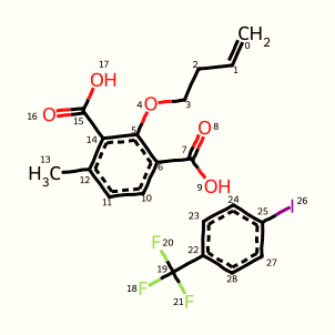 C=CCCOc1c(C(=O)O)ccc(C)c1C(=O)O.FC(F)(F)c1ccc(I)cc1